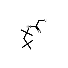 CC(C)(C)CC(C)(C)NC(=O)CCl